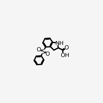 O=C(O)C1Cc2c(cccc2S(=O)(=O)c2ccccc2)N1